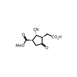 COC(=O)[C@@H]1CC(=O)[C@H](CC(=O)O)[C@H]1C#N